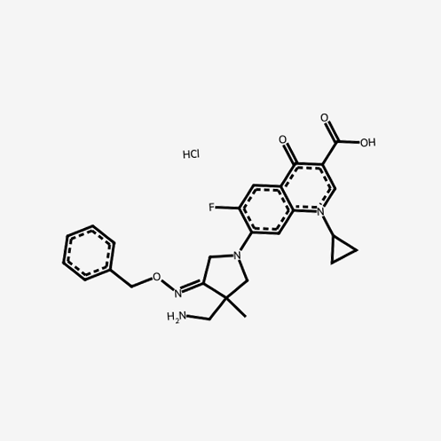 CC1(CN)CN(c2cc3c(cc2F)c(=O)c(C(=O)O)cn3C2CC2)CC1=NOCc1ccccc1.Cl